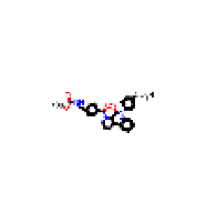 CC(C)(C)OC(=O)NCc1ccc(C(=O)N2CCCC(c3ccccc3)C2C(=O)Nc2ccc(C(=O)O)cc2)cc1